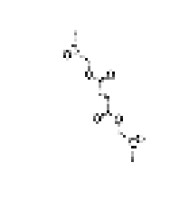 CC1OC1COC(=O)C=CC(=O)OCC1OC1C